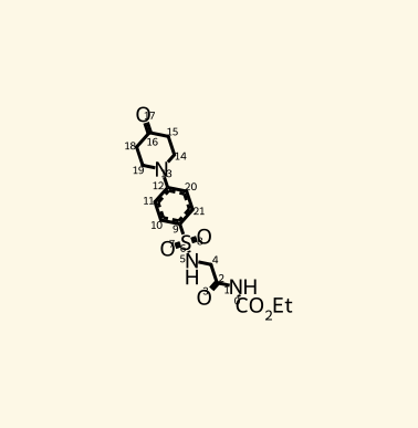 CCOC(=O)NC(=O)CNS(=O)(=O)c1ccc(N2CCC(=O)CC2)cc1